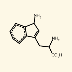 NC(CC1=CC(N)c2ccccc21)C(=O)O